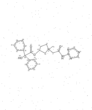 C[N+]1(CC(=O)Nc2ncncn2)CCC(OC(=O)C(O)(c2ccccc2)c2ccccc2)C1